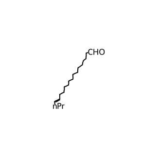 CCCC=CCCCCCCCCCCCCCC=O